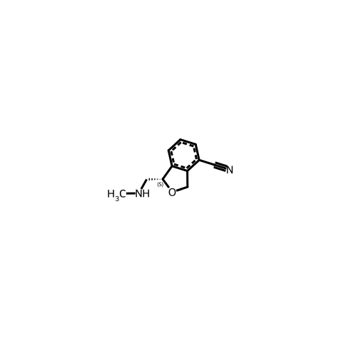 CNC[C@H]1OCc2c(C#N)cccc21